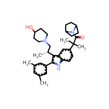 Cc1cc(C)cc(-c2[nH]c3ccc(C(C)(C)C(=O)N4C5CCC4CC5)cc3c2[C@H](C)CN2CCC(O)CC2)c1